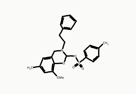 COc1cc(C)cc2c1OC(OS(=O)(=O)c1ccc(C)cc1)N(CCc1ccccc1)C2